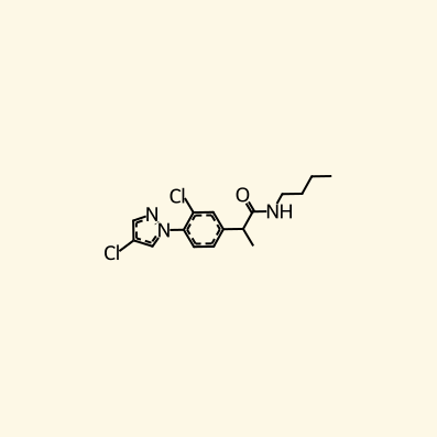 CCCCNC(=O)C(C)c1ccc(-n2cc(Cl)cn2)c(Cl)c1